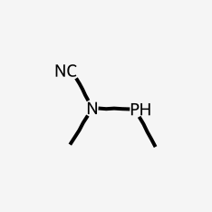 CPN(C)C#N